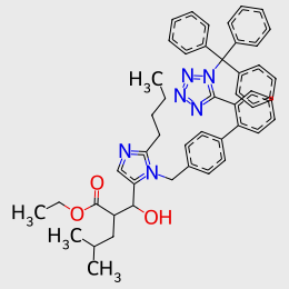 CCCCc1ncc(C(O)C(CC(C)C)C(=O)OCC)n1Cc1ccc(-c2ccccc2-c2nnnn2C(c2ccccc2)(c2ccccc2)c2ccccc2)cc1